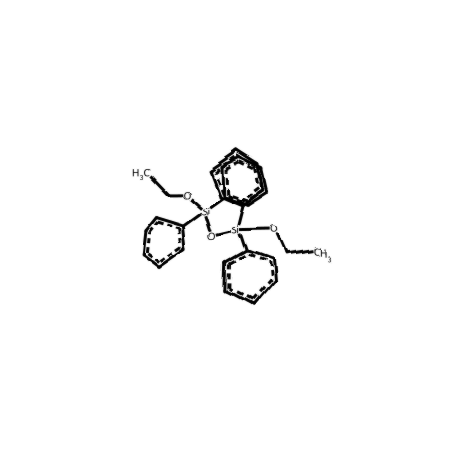 CCO[Si](O[Si](OCC)(c1ccccc1)c1ccccc1)(c1ccccc1)c1ccccc1